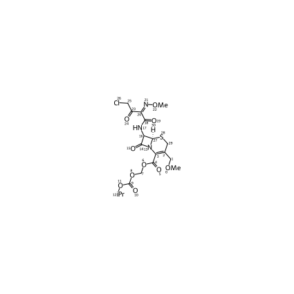 COCC1=C(C(=O)OCOC(=O)OC(C)C)N2C(=O)C(NC(=O)/C(=N\OC)C(=O)CCl)[C@H]2SC1